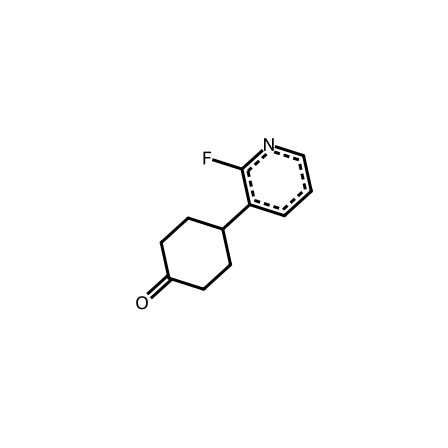 O=C1CCC(c2cccnc2F)CC1